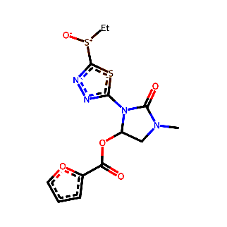 CC[S+]([O-])c1nnc(N2C(=O)N(C)CC2OC(=O)c2ccco2)s1